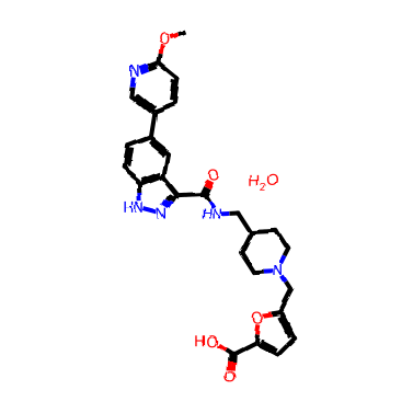 COc1ccc(-c2ccc3[nH]nc(C(=O)NCC4CCN(Cc5ccc(C(=O)O)o5)CC4)c3c2)cn1.O